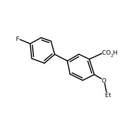 CCOc1ccc(-c2ccc(F)cc2)cc1C(=O)O